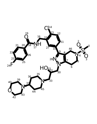 CS(=O)(=O)N1CCc2c(c(-c3ccc(Cl)c(CNC(=O)c4ccc(F)cc4)c3)nn2CC(O)CN2CCC(N3CCOCC3)CC2)C1